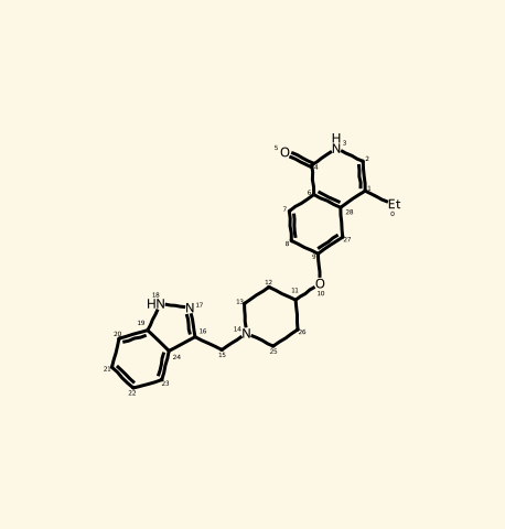 CCc1c[nH]c(=O)c2ccc(OC3CCN(Cc4n[nH]c5ccccc45)CC3)cc12